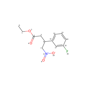 CCOC(=O)CC(C[N+](=O)[O-])c1cccc(F)c1